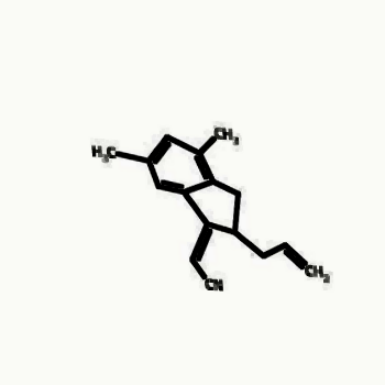 C=CCC1Cc2c(C)cc(C)cc2/C1=C/C#N